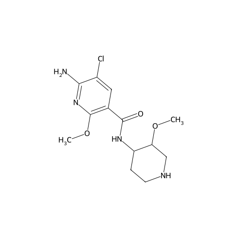 COc1nc(N)c(Cl)cc1C(=O)NC1CCNCC1OC